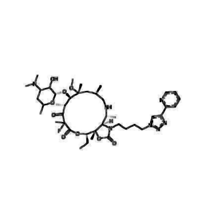 CC[C@H]1OC(=O)C(C)(F)C(=O)[C@H](C)[C@@H](O[C@@H]2OC(C)CC(N(C)C)C2O)[C@](C)(OC)C[C@@H](C)CN[C@H](C)[C@H]2N(CCCCn3cc(-c4ccccn4)nn3)C(=O)O[C@]12C